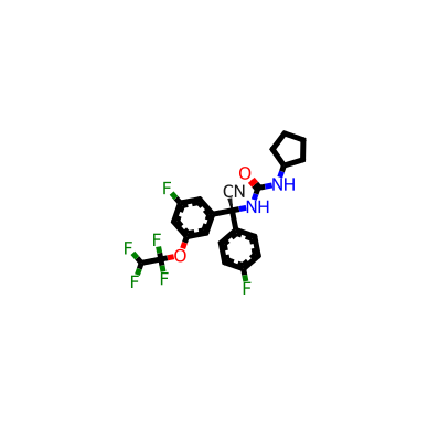 N#C[C@@](NC(=O)NC1CCCC1)(c1ccc(F)cc1)c1cc(F)cc(OC(F)(F)C(F)F)c1